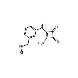 Nc1c(Nc2cccc(CNCl)c2)c(=O)c1=O